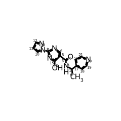 CC(NC(=O)c1cnc(-n2cccn2)nc1O)c1ccncc1